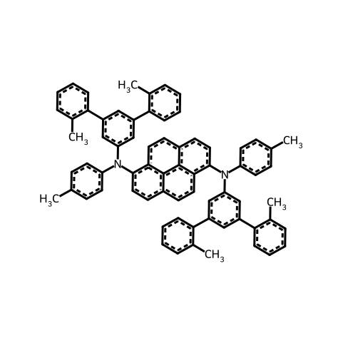 Cc1ccc(N(c2cc(-c3ccccc3C)cc(-c3ccccc3C)c2)c2ccc3ccc4c(N(c5ccc(C)cc5)c5cc(-c6ccccc6C)cc(-c6ccccc6C)c5)ccc5ccc2c3c54)cc1